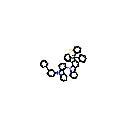 c1ccc(-c2cccc(-n3c4ccccc4c4c(-n5c6ccccc6c6ccc([Si]7(c8ccccc8)c8ccccc8Sc8ccccc87)cc65)cccc43)c2)cc1